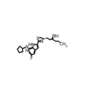 CCCC(=N)CC[C@@H]1CSC(c2cc3cc(F)cc(NC4CCCC4)c3[nH]2)=N1